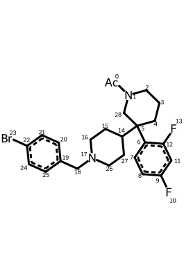 CC(=O)N1CCCC(c2ccc(F)cc2F)(C2CCN(Cc3ccc(Br)cc3)CC2)C1